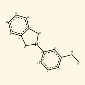 CNc1ccnc(N2Cc3ccccc3C2)c1